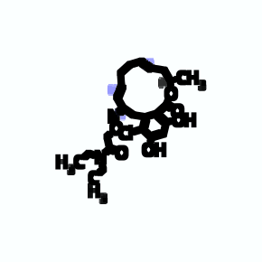 CCN(CC)C(=O)CO/N=C1/C=C/CC/C=C/C[C@@H](C)OC(=O)c2c(O)cc(O)c(Cl)c2C1